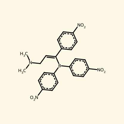 CN(C)C/C=C(\B(c1ccc([N+](=O)[O-])cc1)c1ccc([N+](=O)[O-])cc1)c1ccc([N+](=O)[O-])cc1